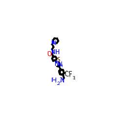 NCc1ccc(-c2cn3c(n2)sc2cc(C(=O)NCCCN4CCCCC4)ccc23)cc1C(F)(F)F